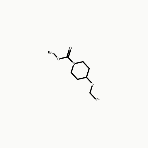 CC(C)CSC1CCN(C(=O)OC(C)(C)C)CC1